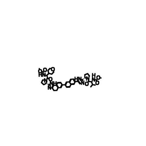 COC(=O)N[C@H](C(=O)N1CCC[C@H]1c1ncc(-c2ccc3cc(-c4ccc5c(c4)CCc4nc([C@@H]6CCCN6C(=O)[C@@H](NC(=O)OC)C6CCOCC6)[nH]c4-5)ccc3c2)[nH]1)C(C)C